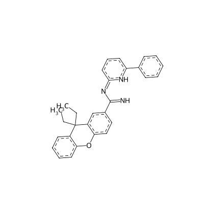 CCC1(CC)c2ccccc2Oc2ccc(C(=N)/N=c3/cccc(-c4ccccc4)[nH]3)cc21